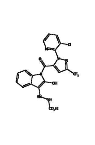 CCOC(=O)NNc1c(O)n(C(=O)c2cc(C(F)(F)F)nn2-c2ncccc2Cl)c2ccccc12